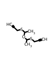 C#CCSC(C)OC(C)SCC#C